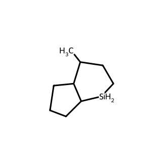 CC1CC[SiH2]C2CCCC12